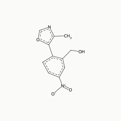 Cc1ncoc1-c1ccc([N+](=O)[O-])cc1CO